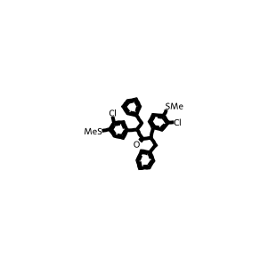 CSc1ccc(C(Cc2ccccc2)C(=O)C(Cc2ccccc2)c2ccc(SC)c(Cl)c2)cc1Cl